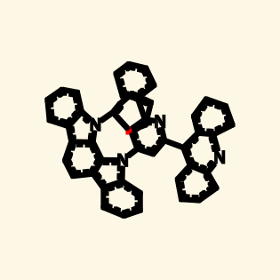 C1=CCCC(n2c3ccccc3c3ccc4c5ccccc5n(-c5cc(-c6ccccc6)nc(-c6c7ccccc7nc7ccccc67)c5)c4c32)=C1